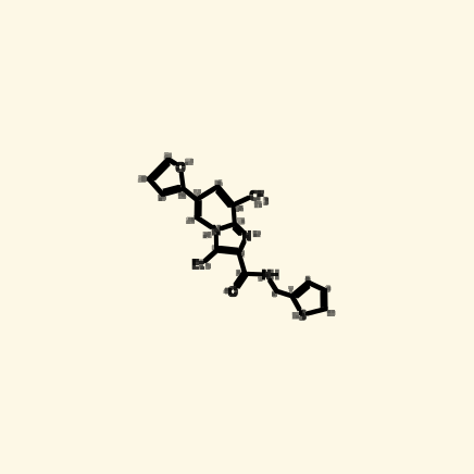 CCc1c(C(=O)NCc2cccs2)nc2c(C(F)(F)F)cc(-c3ccco3)cn12